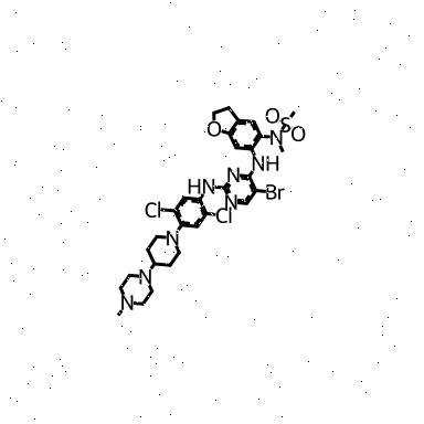 CN1CCN(C2CCN(c3cc(Cl)c(Nc4ncc(Br)c(Nc5cc6c(cc5N(C)S(C)(=O)=O)CCO6)n4)cc3Cl)CC2)CC1